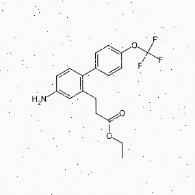 CCOC(=O)CCc1cc(N)ccc1-c1ccc(OC(F)(F)F)cc1